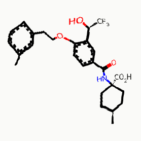 Cc1cccc(CCOc2ccc(C(=O)N[C@]3(C(=O)O)CC[C@H](C)CC3)cc2[C@@H](O)C(F)(F)F)c1